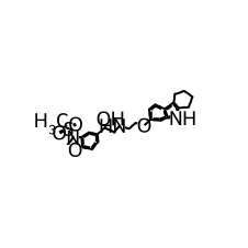 CS(=O)(=O)N1COc2ccc([C@@H](O)CNCCOc3ccc4c5c([nH]c4c3)CCCC5)cc21